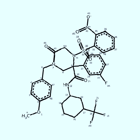 COc1ccc(CN2CC(C(=O)NC3CCCC(C(F)(F)F)C3)(c3cc(F)ccc3Cl)N(S(=O)(=O)c3ccccc3[N+](=O)[O-])CC2=O)cc1